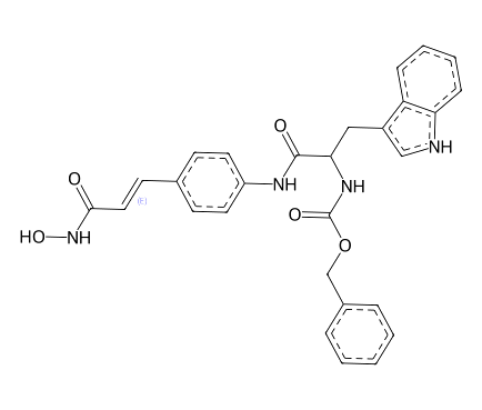 O=C(/C=C/c1ccc(NC(=O)C(Cc2c[nH]c3ccccc23)NC(=O)OCc2ccccc2)cc1)NO